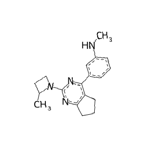 CNc1cccc(-c2nc(N3CCC3C)nc3c2CCC3)c1